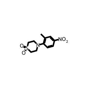 Cc1cc([N+](=O)[O-])ccc1N1CCS(=O)(=O)CC1